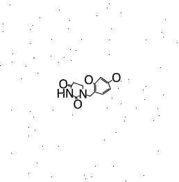 COc1ccc(CN2CCC(=O)NC2=O)c(OC)c1